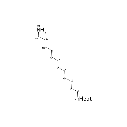 CCCCCCCCCCCCCC/C=C/CCCN